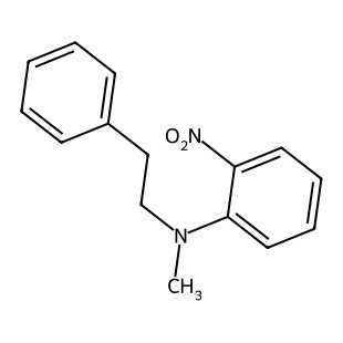 CN(CCc1ccccc1)c1ccccc1[N+](=O)[O-]